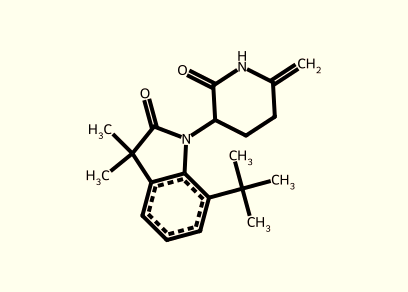 C=C1CCC(N2C(=O)C(C)(C)c3cccc(C(C)(C)C)c32)C(=O)N1